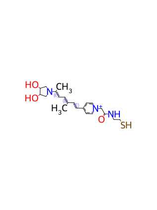 CC(/C=C/c1cc[n+](CC(=O)NCCS)cc1)=C\C=C(/C)N1CC(O)C(O)C1